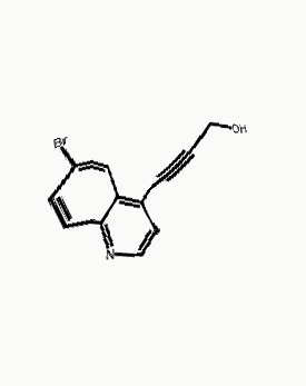 OCC#Cc1ccnc2ccc(Br)cc12